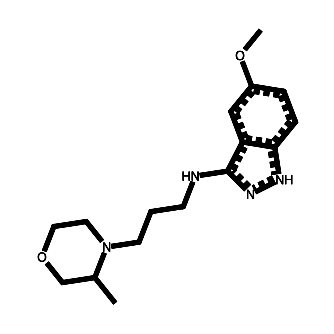 COc1ccc2[nH]nc(NCCCN3CCOCC3C)c2c1